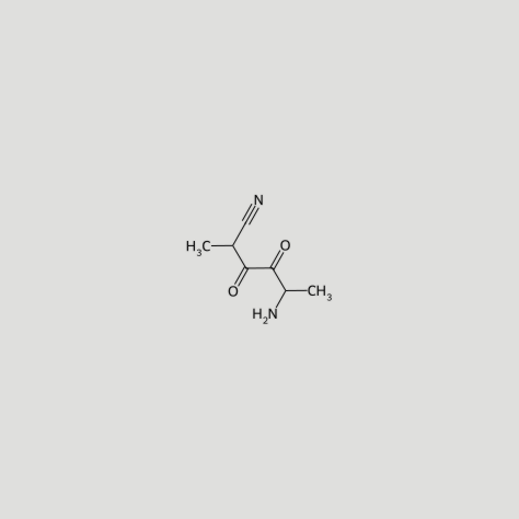 CC(N)C(=O)C(=O)C(C)C#N